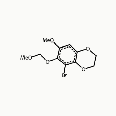 COCOc1c(OC)cc2c(c1Br)OCCO2